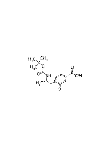 CC(Cn1ccc(C(=O)O)cc1=O)NC(=O)OC(C)(C)C